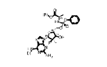 CCNc1nc(N)nc2c1ncn2[C@@H]1O[C@H](COP(=O)(N[C@H](C)C(=O)OC(C)C)Oc2ccccc2)[C@@H](O)[C@@]1(C)F